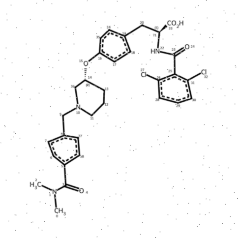 CN(C)C(=O)c1ccc(CN2CCC[C@@H](Oc3ccc(C[C@H](NC(=O)c4c(Cl)cccc4Cl)C(=O)O)cc3)C2)cc1